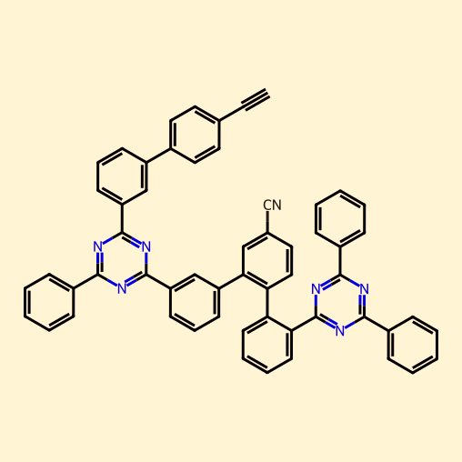 C#Cc1ccc(-c2cccc(-c3nc(-c4ccccc4)nc(-c4cccc(-c5cc(C#N)ccc5-c5ccccc5-c5nc(-c6ccccc6)nc(-c6ccccc6)n5)c4)n3)c2)cc1